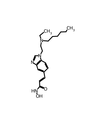 CCCCCCN(CC)CCn1cnc2cc(C=CC(=O)NO)ccc21